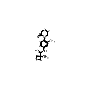 Cc1cc(NC(=O)C2(N)CSC2)ccc1N1CCOCC1=O